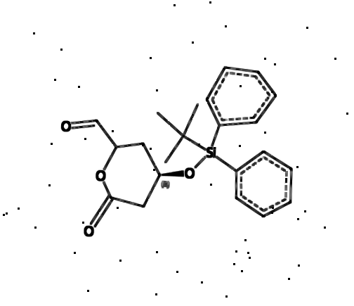 CC(C)(C)[Si](O[C@H]1CC(=O)OC(C=O)C1)(c1ccccc1)c1ccccc1